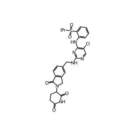 CC(C)S(=O)(=O)c1ccccc1Nc1nc(NCc2ccc3c(c2)CN(C2CCC(=O)NC2=O)C3=O)ncc1Cl